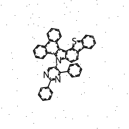 c1ccc(-c2ncc(-n3c4ccc5c6ccccc6sc5c4c4c5ccccc5c5ccccc5c43)c(-c3ccccc3)n2)cc1